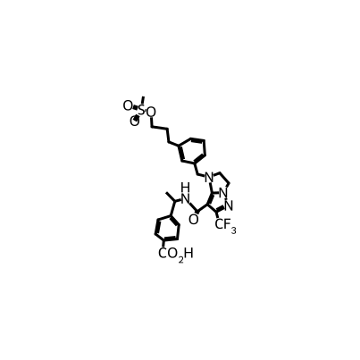 CC(NC(=O)c1c(C(F)(F)F)nn2c1N(Cc1cccc(CCCOS(C)(=O)=O)c1)CC2)c1ccc(C(=O)O)cc1